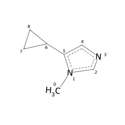 Cn1cncc1C1CC1